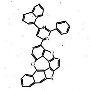 c1ccc(-c2nc(-c3cccc4ccccc34)cc(-c3ccc4oc5c6ccccc6cc6sc7ccc8oc3c4c8c7c65)n2)cc1